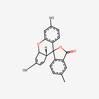 Cc1ccc2c(c1)C(=O)OC21c2ccc(N=O)cc2OC2C=C(N=O)C=C[C@H]21